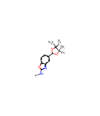 CC(C)Nc1nc2cc(C3OC(C)(C)C(C)(C)O3)ccc2o1